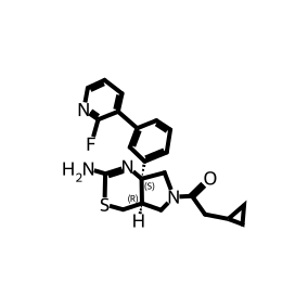 NC1=N[C@@]2(c3cccc(-c4cccnc4F)c3)CN(C(=O)CC3CC3)C[C@H]2CS1